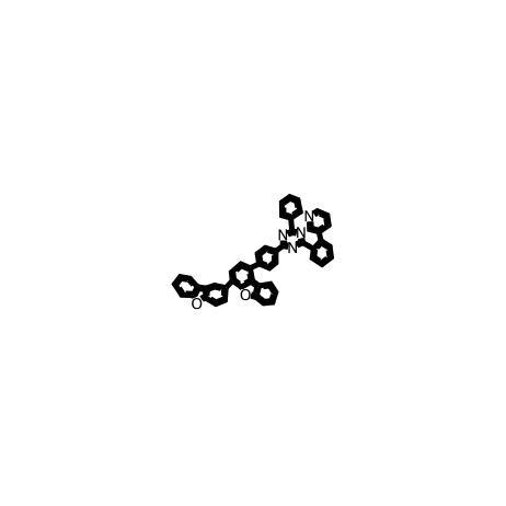 c1ccc(-c2nc(-c3ccc(-c4ccc(-c5ccc6oc7ccccc7c6c5)c5oc6ccccc6c45)cc3)nc(-c3ccccc3-c3cccnc3)n2)cc1